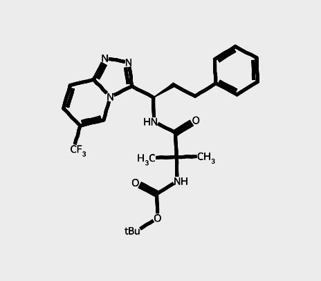 CC(C)(C)OC(=O)NC(C)(C)C(=O)N[C@H](CCc1ccccc1)c1nnc2ccc(C(F)(F)F)cn12